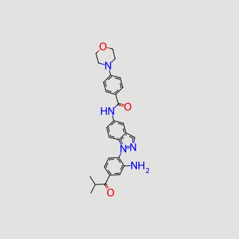 CC(C)C(=O)c1ccc(-n2ncc3cc(NC(=O)c4ccc(N5CCOCC5)cc4)ccc32)c(N)c1